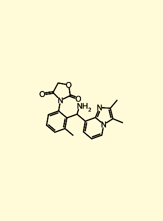 Cc1cccc(N2C(=O)COC2=O)c1C(N)c1cccn2c(C)c(C)nc12